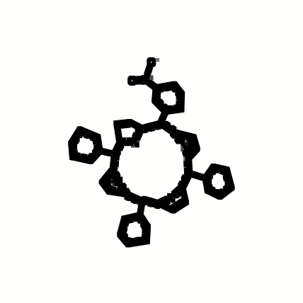 O=[N+]([O-])c1cccc(-c2c3nc(c(-c4ccccc4)c4ccc([nH]4)c(-c4ccccc4)c4nc(c(-c5ccccc5)c5ccc2[nH]5)C=C4)C=C3)c1